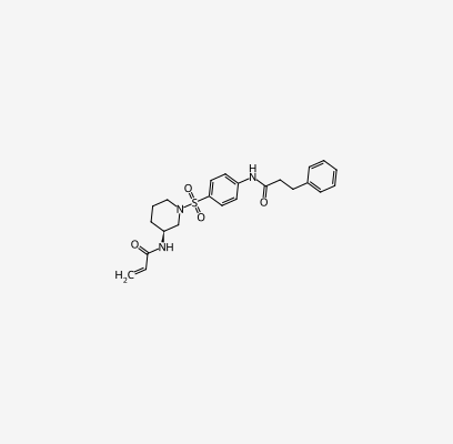 C=CC(=O)N[C@H]1CCCN(S(=O)(=O)c2ccc(NC(=O)CCc3ccccc3)cc2)C1